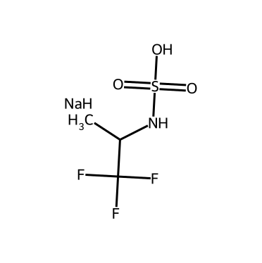 CC(NS(=O)(=O)O)C(F)(F)F.[NaH]